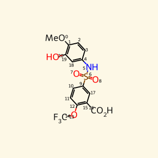 COc1ccc(NS(=O)(=O)c2ccc(OC(F)(F)F)c(C(=O)O)c2)cc1O